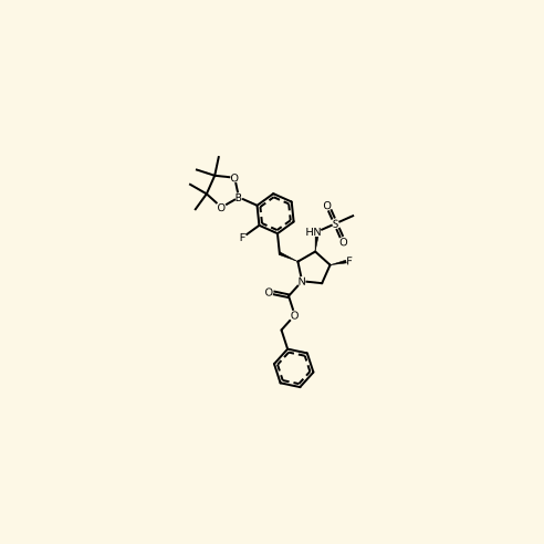 CC1(C)OB(c2cccc(C[C@H]3[C@@H](NS(C)(=O)=O)[C@@H](F)CN3C(=O)OCc3ccccc3)c2F)OC1(C)C